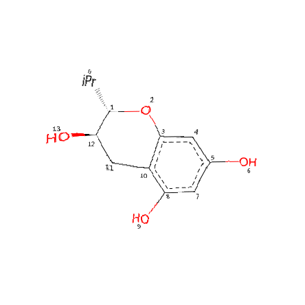 CC(C)[C@@H]1Oc2cc(O)cc(O)c2C[C@H]1O